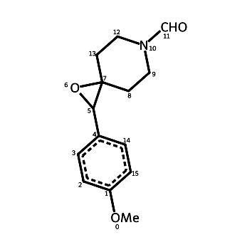 COc1ccc(C2OC23CCN(C=O)CC3)cc1